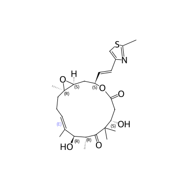 C/C1=C\CC[C@@]2(C)O[C@H]2C[C@@H](C=Cc2csc(C)n2)OC(=O)C[C@H](O)C(C)(C)C(=O)[C@H](C)[C@H]1O